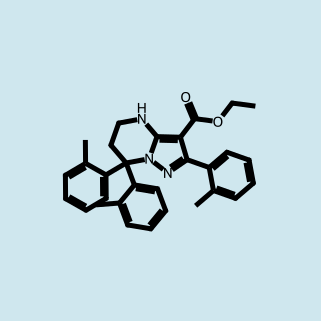 CCOC(=O)c1c(-c2ccccc2C)nn2c1NCCC2(c1ccccc1C)c1ccccc1C